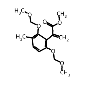 C=C(C(=O)OC)c1c(OCOC)ccc(C)c1OCOC